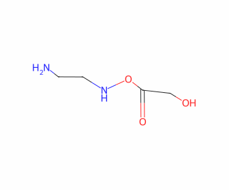 NCCNOC(=O)CO